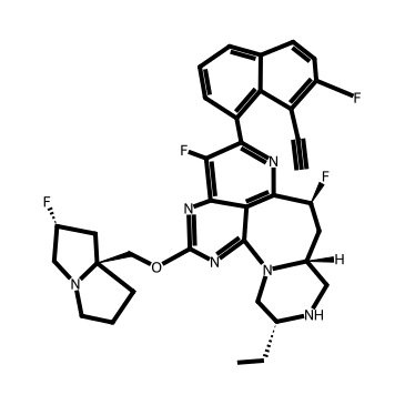 C#Cc1c(F)ccc2cccc(-c3nc4c5c(nc(OC[C@@]67CCCN6C[C@H](F)C7)nc5c3F)N3C[C@@H](CC)NC[C@H]3C[C@@H]4F)c12